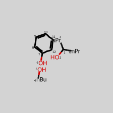 CCCC(O)CCC.CCCCO.Oc1ccccc1